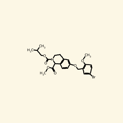 COC(=O)C1c2ccc(OCc3cc(Br)ccc3OC)cc2CCN1C(=O)OCC(C)C